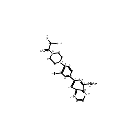 CNc1nc(-c2ccc(N3CCN(C(=O)C(F)F)CC3)c(F)c2)cc2nccnc12